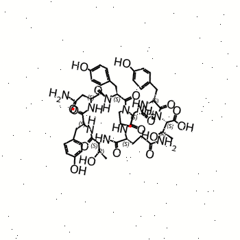 C[C@@H](O)[C@H](NC(=O)[C@H](Cc1ccc(O)cc1)NC(=O)[C@@H]1CCCN1C(=O)[C@H](Cc1ccc(O)cc1)NC(=O)[C@H](CC(N)=O)NC(=O)[C@H](Cc1ccc(O)cc1)NC(=O)[C@@H](NC(=O)[C@H](CCC(N)=O)NC(=O)CN)[C@@H](C)O)C(=O)O